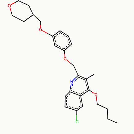 CCCCOc1c(C)c(COc2cccc(OCC3CCOCC3)c2)nc2ccc(Cl)cc12